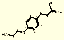 NCCOc1ccc(CCC(=O)I)cn1